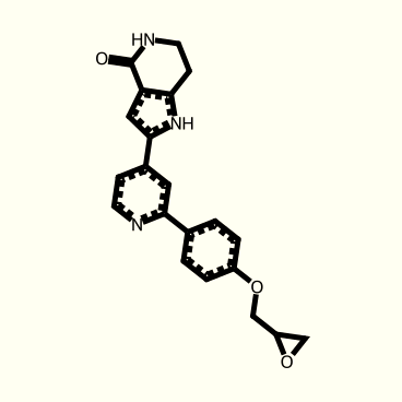 O=C1NCCc2[nH]c(-c3ccnc(-c4ccc(OCC5CO5)cc4)c3)cc21